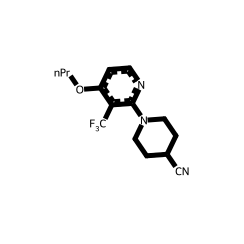 CCCOc1ccnc(N2CCC(C#N)CC2)c1C(F)(F)F